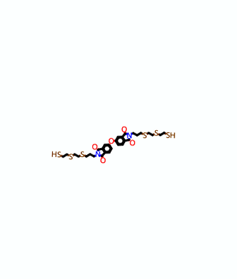 O=C1c2ccc(Oc3ccc4c(c3)C(=O)N(CCCSCCSCCS)C4=O)cc2C(=O)N1CCCSCCSCCS